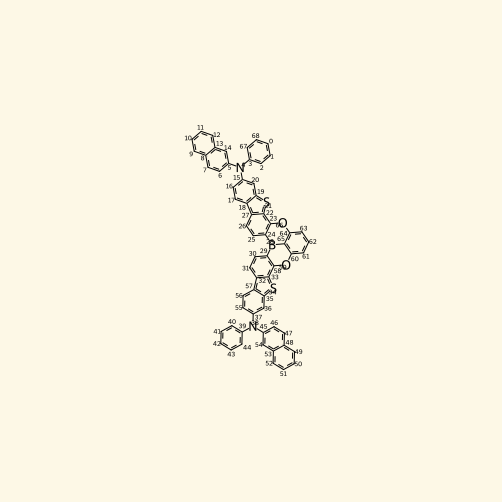 c1ccc(N(c2ccc3ccccc3c2)c2ccc3c(c2)sc2c4c(ccc23)B2c3ccc5c(sc6cc(N(c7ccccc7)c7ccc8ccccc8c7)ccc65)c3Oc3cccc(c32)O4)cc1